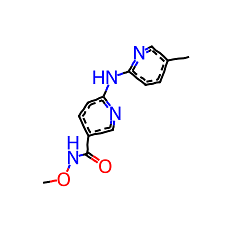 CONC(=O)c1ccc(Nc2ccc(C)cn2)nc1